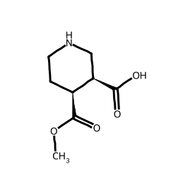 COC(=O)[C@H]1CCNC[C@H]1C(=O)O